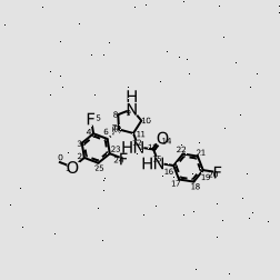 COc1cc(F)c([C@@H]2CNCC2NC(=O)Nc2ccc(F)cc2)c(F)c1